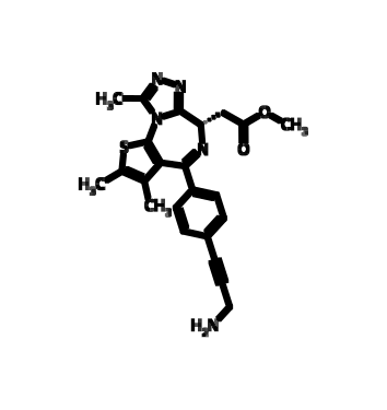 COC(=O)C[C@@H]1N=C(c2ccc(C#CCN)cc2)c2c(sc(C)c2C)-n2c(C)nnc21